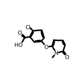 Cn1c(Oc2ccc(Cl)c(C(=O)O)c2)cccc1=O